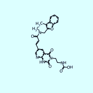 Cc1c(CN(C)C(=O)C=Cc2cnc3[nH]c(=O)n(CCNC(=O)O)c(=O)c3c2)oc2ccccc12